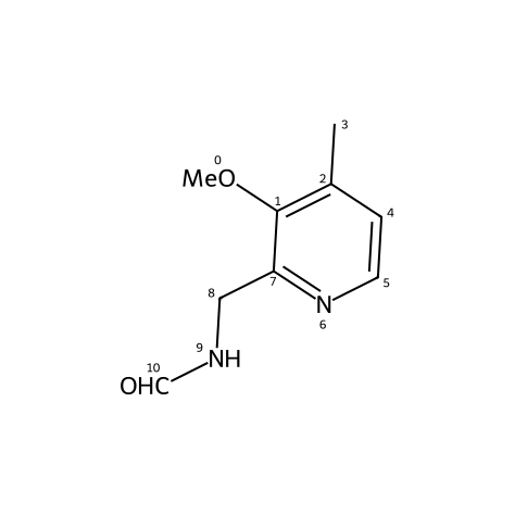 COc1c(C)ccnc1CNC=O